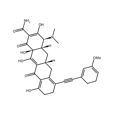 COC1=CCCC(C#CC2=C3C[C@H]4C[C@H]5[C@H](N(C)C)C(O)=C(C(N)=O)C(=O)[C@@]5(O)C(O)=C4C(=O)C3=C(O)CC2)=C1